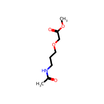 COC(=O)COCCCNC(C)=O